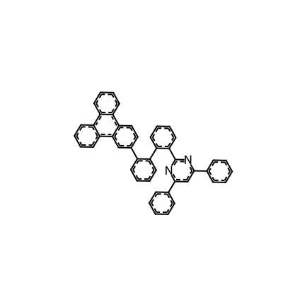 c1ccc(-c2cc(-c3ccccc3)nc(-c3ccccc3-c3ccccc3-c3ccc4c5ccccc5c5ccccc5c4c3)n2)cc1